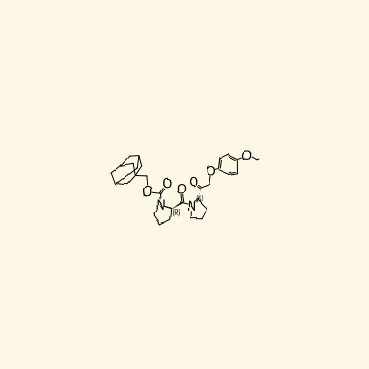 COc1ccc(OCC(=O)[C@@H]2CCCN2C(=O)[C@H]2CCCN2C(=O)OCC23CC4CC(CC(C4)C2)C3)cc1